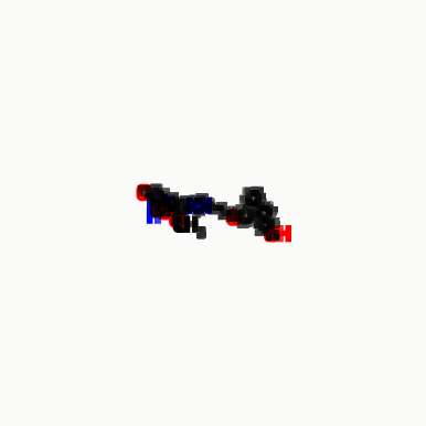 COc1cc(N2CCN(CCCCCOc3ccc([C@@H]4c5ccc(O)cc5CC[C@@H]4c4ccccc4)cc3)CC2)cc2c1C(=O)N(C1CCC(=O)NC1=O)C2